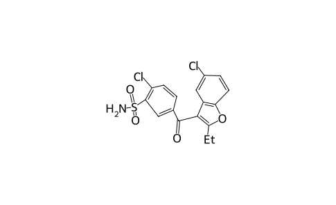 CCc1oc2ccc(Cl)cc2c1C(=O)c1ccc(Cl)c(S(N)(=O)=O)c1